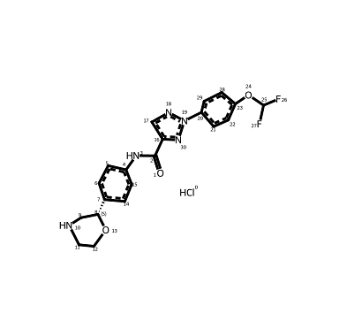 Cl.O=C(Nc1ccc([C@H]2CNCCO2)cc1)c1cnn(-c2ccc(OC(F)F)cc2)n1